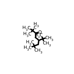 CC(C)(C)CC(CC(=O)C(C)(C)C)C(C)(C)C